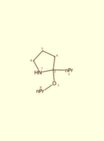 CCCOC1(CCC)CCCN1